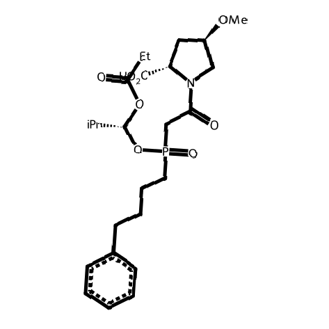 CCC(=O)O[C@H](OP(=O)(CCCCc1ccccc1)CC(=O)N1C[C@H](OC)C[C@H]1C(=O)O)C(C)C